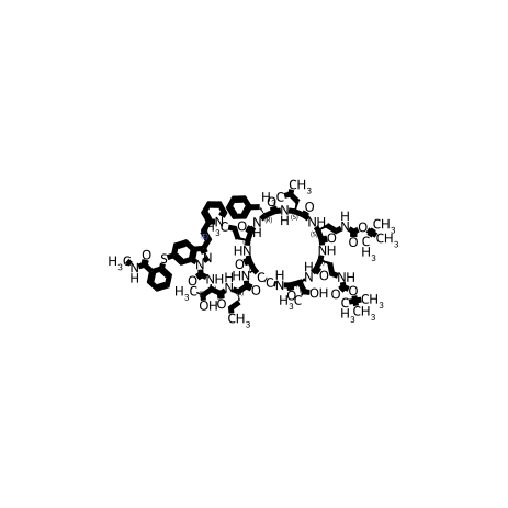 CCC[C@@H]1NC(=O)[C@@H](NC(=O)[C@H](CCC)NC(=O)[C@@H](NC(=O)n2nc(/C=C/c3ccccn3)c3ccc(Sc4ccccc4C(=O)NC)cc32)[C@@H](C)O)CCNC(=O)[C@H]([C@@H](C)O)NC(=O)[C@H](CCNC(=O)OC(C)(C)C)NC(=O)[C@H](CCNC(=O)OC(C)(C)C)NC(=O)[C@H](CC(C)C)NC(=O)[C@@H](Cc2ccccc2)NC1=O